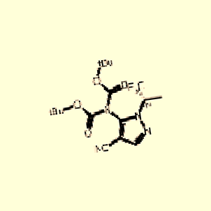 C[C@H](n1ncc(C#N)c1N(C(=O)OC(C)(C)C)C(=O)OC(C)(C)C)C(F)(F)F